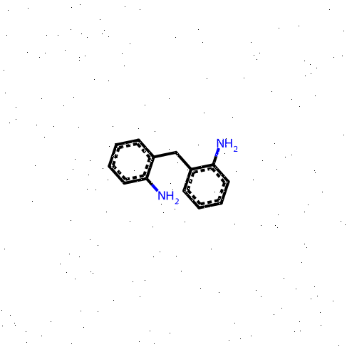 Nc1ccccc1Cc1ccccc1N